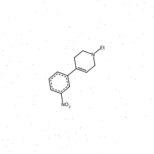 CCN1CC=C(c2cccc([N+](=O)[O-])c2)CC1